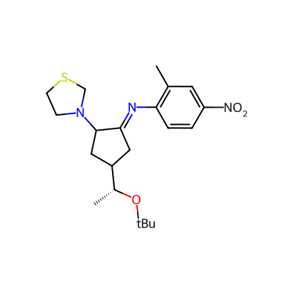 Cc1cc([N+](=O)[O-])ccc1N=C1CC([C@@H](C)OC(C)(C)C)CC1N1CCSC1